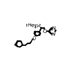 CCCCCCCC(COc1cncnc1)c1ccc(OCCCCC2CCCCC2)cc1